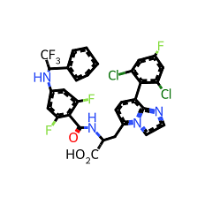 O=C(NC(Cc1ccc(-c2c(Cl)cc(F)cc2Cl)c2nccn12)C(=O)O)c1c(F)cc(NC(c2ccccc2)C(F)(F)F)cc1F